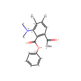 CCc1cc(C(=O)OC)c(C(=O)Oc2ccccc2)c(N(C)C)c1CC